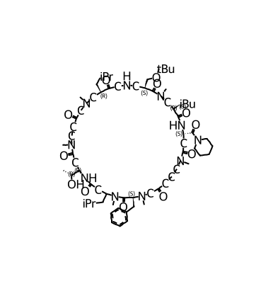 CC[C@H](C)[C@@H]1CN(C)C(=O)[C@H](COC(C)(C)C)CNCC(=O)[C@H](CC(C)C)CN(C)CC(=O)CCN(C)C(=O)C[C@H]([C@@H](C)O)NC(=O)CC(CC(C)C)N(C)C(=O)[C@H](Cc2ccccc2)N(C)CC(=O)CCCN(C)C(=O)C[C@@H](C(=O)N2CCCCC2)NC1=O